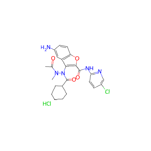 CC(=O)N(C)N(C(=O)C1CCCCC1)c1c(C(=O)Nc2ccc(Cl)cn2)oc2ccc(N)cc12.Cl